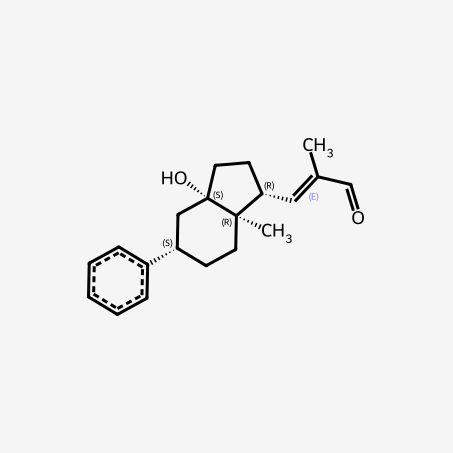 C/C(C=O)=C\[C@H]1CC[C@]2(O)C[C@@H](c3ccccc3)CC[C@]12C